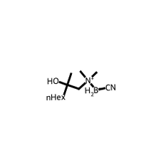 CCCCCCC(C)(O)C[N+](C)(C)[BH2-]C#N